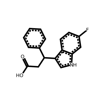 O=C(O)CC(c1ccccc1)c1c[nH]c2cc(F)ccc12